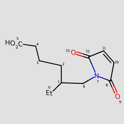 CCC(CCCC(=O)O)CN1C(=O)C=CC1=O